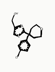 OCc1csc(C2(c3ccc(Cl)cc3)CCOCC2)n1